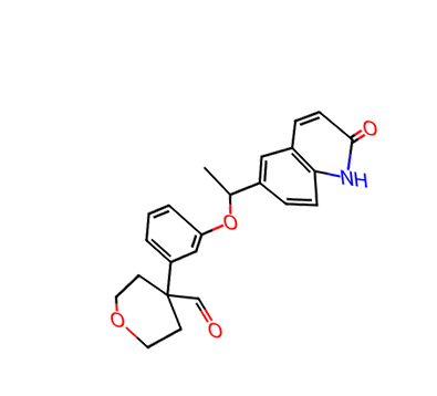 CC(Oc1cccc(C2(C=O)CCOCC2)c1)c1ccc2[nH]c(=O)ccc2c1